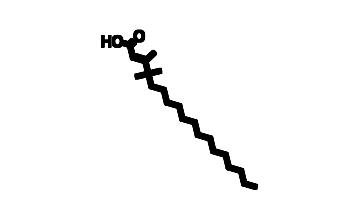 CCCCCCCCCCCCCCC(C)(C)C(C)=CC(=O)O